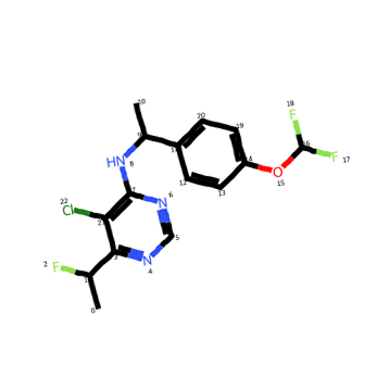 CC(F)c1ncnc(NC(C)c2ccc(OC(F)F)cc2)c1Cl